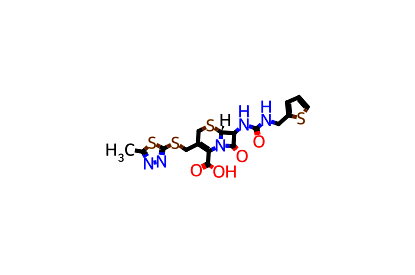 Cc1nnc(SCC2=C(C(=O)O)N3C(=O)C(NC(=O)NCc4cccs4)[C@@H]3SC2)s1